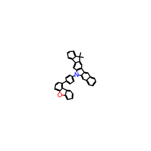 CC1(C)c2ccccc2-c2cc3c(cc21)c1cc2ccccc2cc1n3-c1ccc(-c2cccc3oc4ccccc4c23)cc1